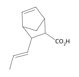 C/C=C/C1C2C=CC(C2)C1C(=O)O